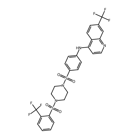 O=S(=O)(c1ccc(Nc2ccnc3cc(C(F)(F)F)ccc23)cc1)N1CCN(S(=O)(=O)c2ccccc2C(F)(F)F)CC1